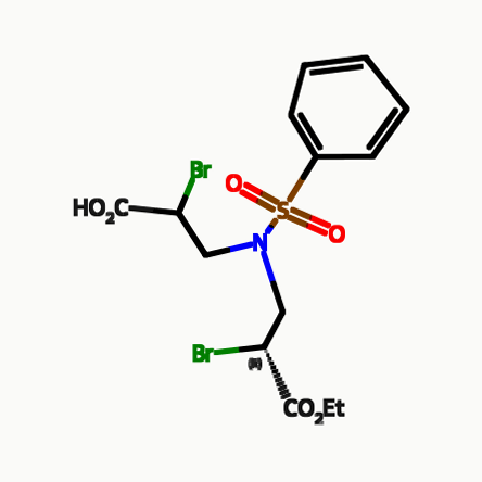 CCOC(=O)[C@H](Br)CN(CC(Br)C(=O)O)S(=O)(=O)c1ccccc1